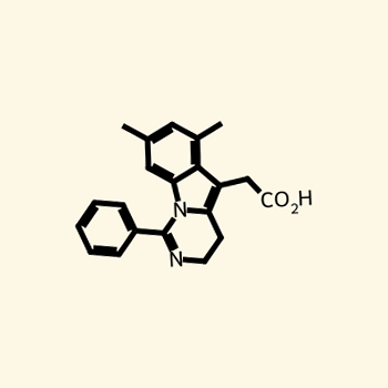 Cc1cc(C)c2c(CC(=O)O)c3n(c2c1)C(c1ccccc1)=NCC3